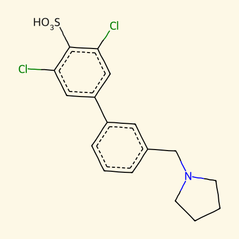 O=S(=O)(O)c1c(Cl)cc(-c2cccc(CN3CCCC3)c2)cc1Cl